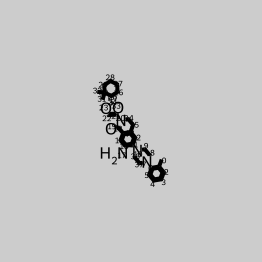 Cc1ccccc1N1CCN(c2cc3c(cc2N)C(=O)N(C2=COC([C@H]4CCCCC4(C)C)O2)CC3)CC1